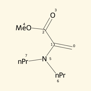 C=C(C(=O)OC)N(CCC)CCC